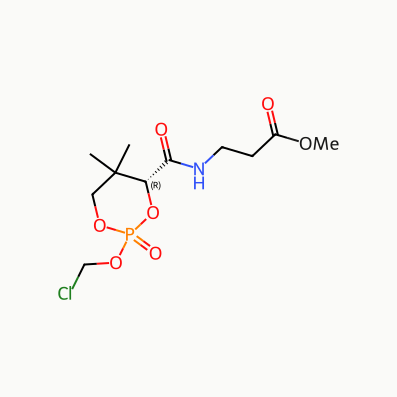 COC(=O)CCNC(=O)[C@@H]1OP(=O)(OCCl)OCC1(C)C